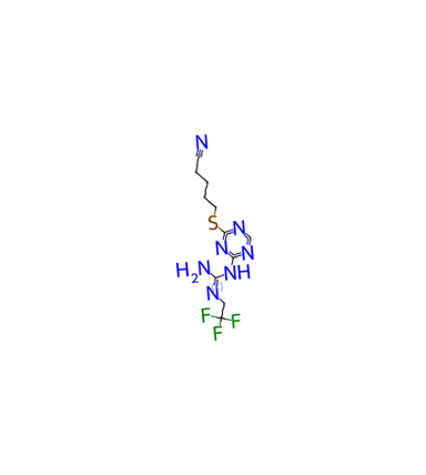 N#CCCCCSc1ncnc(N/C(N)=N\CC(F)(F)F)n1